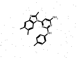 Cc1ccc(Nc2nc(N)cc(-n3c(C)nc4cc(C)c(C)cc43)n2)cc1